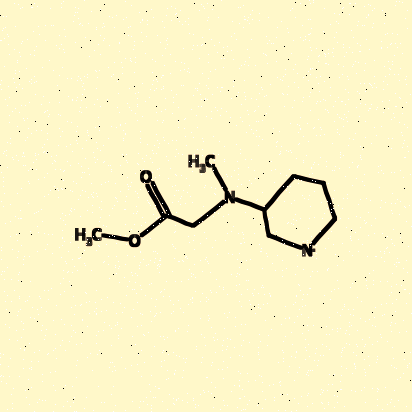 COC(=O)CN(C)C1CCC[N]C1